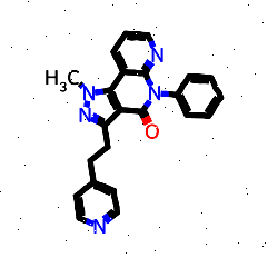 Cn1nc(CCc2ccncc2)c2c(=O)n(-c3ccccc3)c3ncccc3c21